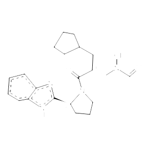 O=CN(O)C[C@@H](CC1CCCC1)C(=O)N1CCC[C@H]1c1nc2ccccc2[nH]1